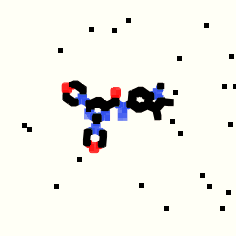 Cc1c(C)n(C)c2ccc(NC(=O)c3cc(N4CCOCC4)nc(N4CCOCC4)n3)cc12